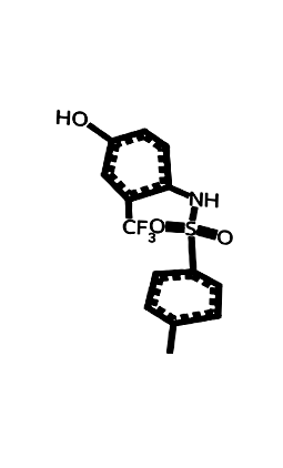 Cc1ccc(S(=O)(=O)Nc2ccc(O)cc2C(F)(F)F)cc1